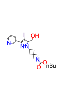 CCCCOC(=O)N1CC2(CC(n3nc(-c4cccnc4)c(I)c3CO)C2)C1